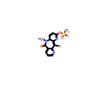 CCC1=C2N=C(OS(=O)(=O)C(F)(F)F)C=CC2N(C)C(=O)c2cccnc21